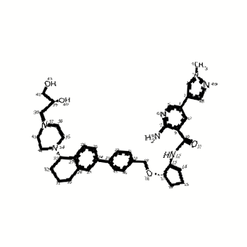 Cn1cc(-c2cnc(N)c(C(=O)N[C@H]3CCC[C@@H]3OCc3ccc(-c4ccc5c(c4)CCC[C@@H]5N4CCN(C[C@H](O)CO)CC4)cc3)c2)cn1